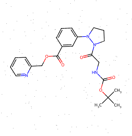 CC(C)(C)OC(=O)NCC(=O)N1CCCN1c1cccc(C(=O)OCc2ccccn2)c1